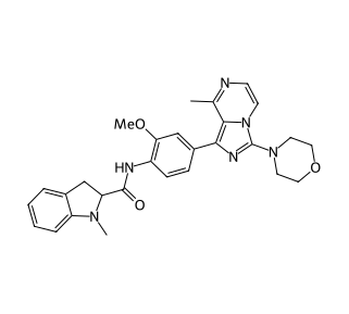 COc1cc(-c2nc(N3CCOCC3)n3ccnc(C)c23)ccc1NC(=O)C1Cc2ccccc2N1C